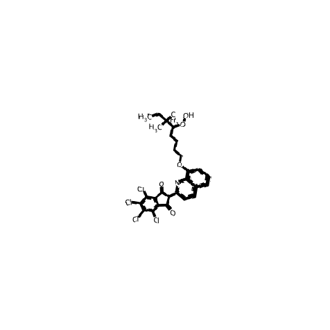 CCC(C)(C)C(CCCCOc1cccc2ccc(C3C(=O)c4c(Cl)c(Cl)c(Cl)c(Cl)c4C3=O)nc12)OO